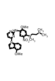 COc1cc(N(C)CCN(C)C)c([N+](=O)[O-])cc1Nc1nccc(-n2ccc3c(OC)cccc32)n1